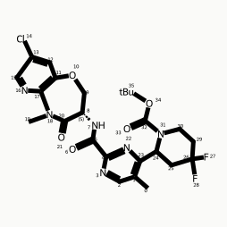 Cc1cnc(C(=O)N[C@H]2COc3cc(Cl)cnc3N(C)C2=O)nc1C1CC(F)(F)CCN1C(=O)OC(C)(C)C